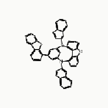 c1ccc2cc(N3c4cc(-c5cccc6c5sc5ccccc56)cc(c4)N(c4ccc5ccccc5c4)c4cccc5oc6cccc3c6c45)ccc2c1